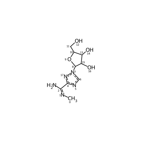 C/N=C(/N)c1ncn(C2OC(CO)C(O)C2O)n1